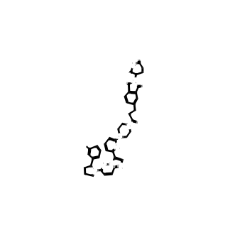 O=C1CCC(N2C(=O)c3ccc(CCC(=O)N4CCN(c5cccc(-c6cnc7ccc(N8CCCC8c8cccc(F)c8)nn67)n5)CC4)cc3C2=O)C(=O)N1